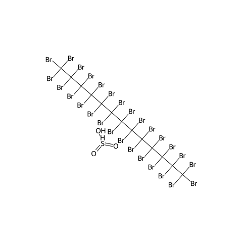 BrC(Br)(Br)C(Br)(Br)C(Br)(Br)C(Br)(Br)C(Br)(Br)C(Br)(Br)C(Br)(Br)C(Br)(Br)C(Br)(Br)C(Br)(Br)C(Br)(Br)C(Br)(Br)C(Br)(Br)Br.O=[SH](=O)O